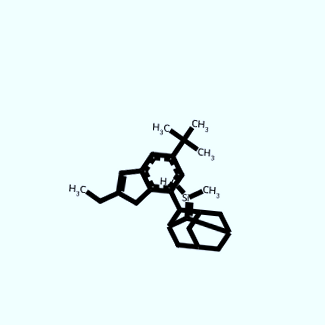 CCC1=Cc2cc(C(C)(C)C)cc(C3[C]4CC5CC(C4)C(=[Si](C)C)C3C5)c2C1